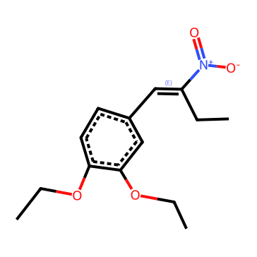 CCOc1ccc(/C=C(\CC)[N+](=O)[O-])cc1OCC